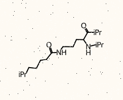 CC(C)CCCCC(=O)NCCCC(NC(C)C)C(=O)C(C)C